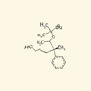 CC(O[Si](C)(C)C(C)(C)C)[C@@](C)(CCCO)c1ccccc1